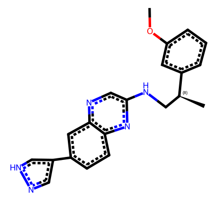 COc1cccc([C@@H](C)CNc2cnc3cc(-c4cn[nH]c4)ccc3n2)c1